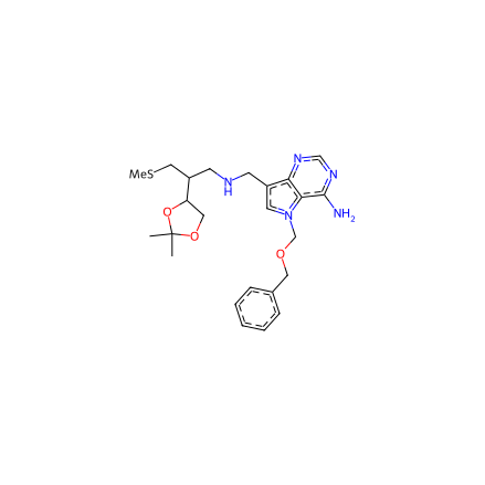 CSCC(CNCc1cn(COCc2ccccc2)c2c(N)ncnc12)C1COC(C)(C)O1